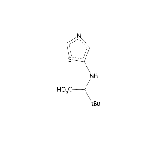 CC(C)(C)C(Nc1cncs1)C(=O)O